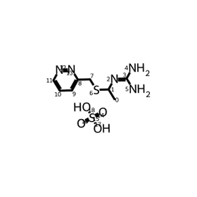 CC(N=C(N)N)SCc1cccnn1.O=S(=O)(O)O